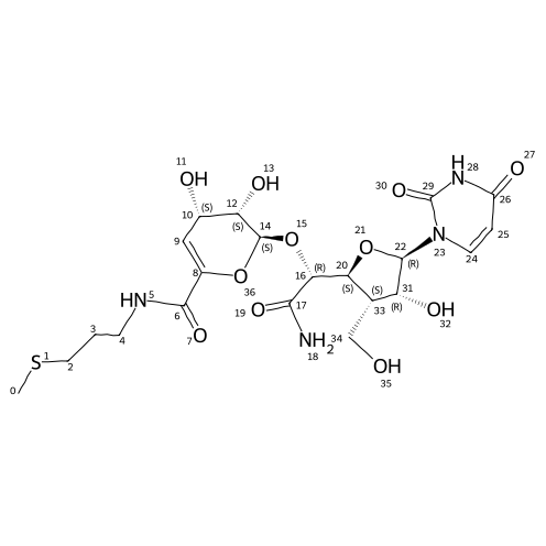 CSCCCNC(=O)C1=C[C@H](O)[C@H](O)[C@@H](O[C@@H](C(N)=O)[C@H]2O[C@@H](n3ccc(=O)[nH]c3=O)[C@H](O)[C@@H]2CO)O1